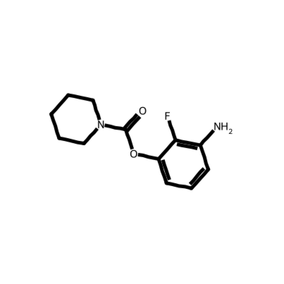 Nc1cccc(OC(=O)N2CCCCC2)c1F